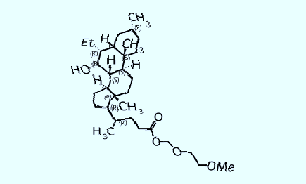 CC[C@H]1[C@@H](O)[C@@H]2[C@H](CC[C@]3(C)[C@@H]([C@H](C)CCC(=O)OCOCCOC)CC[C@@H]23)[C@@]2(C)CC[C@@H](C)C[C@@H]12